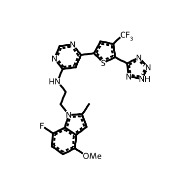 COc1ccc(F)c2c1cc(C)n2CCNc1cc(-c2cc(C(F)(F)F)c(-c3nn[nH]n3)s2)ncn1